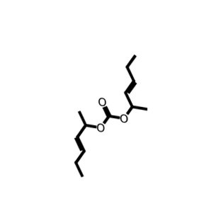 CCC=CC(C)OC(=O)OC(C)C=CCC